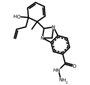 C=CCC1(O)C=CC=CC1(C)C1N2CN1c1cc(C(=O)NN)ccc12